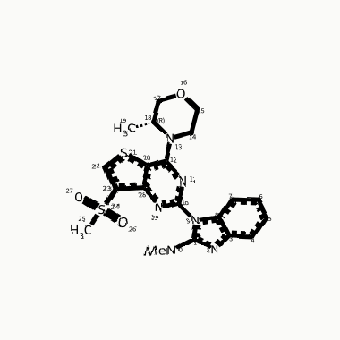 CNc1nc2ccccc2n1-c1nc(N2CCOC[C@H]2C)c2scc(S(C)(=O)=O)c2n1